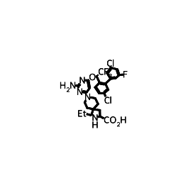 CCC1NC(C(=O)O)CC12CCN(c1cc(O[C@H](c3ccc(Cl)cc3-c3cc(F)cc(Cl)c3)C(F)(F)F)nc(N)n1)CC2